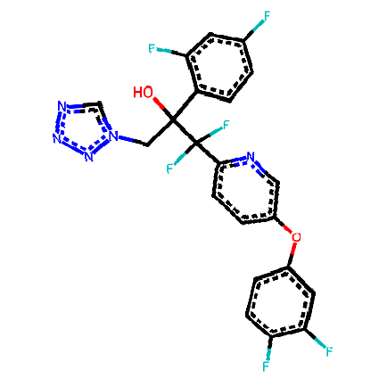 OC(Cn1cnnn1)(c1ccc(F)cc1F)C(F)(F)c1ccc(Oc2ccc(F)c(F)c2)cn1